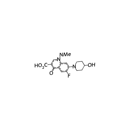 CNn1cc(C(=O)O)c(=O)c2cc(F)c(N3CCC(O)CC3)cc21